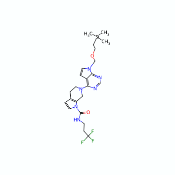 C[Si](C)(C)CCOCn1ccc2c(N3CCc4ccn(C(=O)NCCC(F)(F)F)c4C3)ncnc21